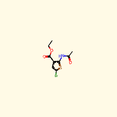 CCOC(=O)c1cc(Br)sc1NC(C)=O